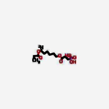 [2H]C(CCCCCOC(=O)CCP(=O)(O)O)OC(=O)C=C